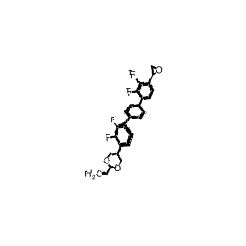 C=CC1OCC(c2ccc(-c3ccc(-c4ccc(C5CO5)c(F)c4F)cc3)c(F)c2F)CO1